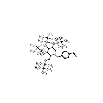 CC(C)(C)[Si](C)(C)OCC1C(O[Si](C)(C)C(C)(C)C)C(O[Si](C)(C)C(C)(C)C)C(O[Si](C)(C)C(C)(C)C)CN1Cc1ccc(C=O)cc1